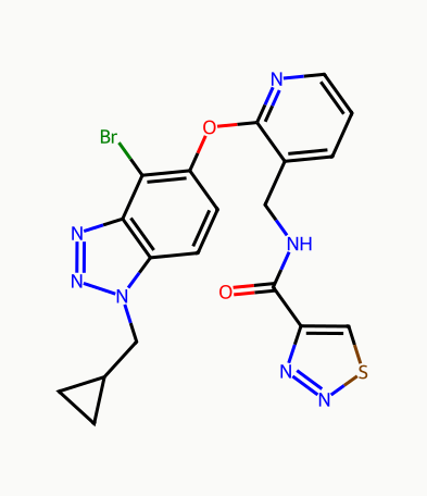 O=C(NCc1cccnc1Oc1ccc2c(nnn2CC2CC2)c1Br)c1csnn1